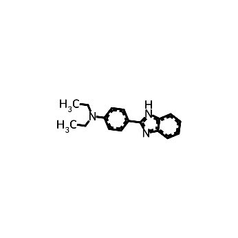 CCN(CC)c1ccc(-c2nc3ccccc3[nH]2)cc1